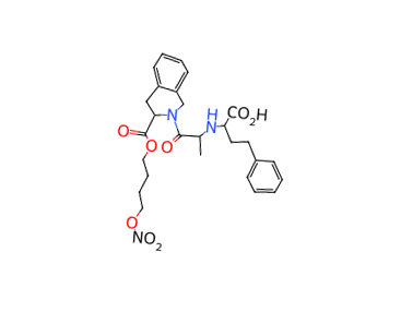 CC(NC(CCc1ccccc1)C(=O)O)C(=O)N1Cc2ccccc2CC1C(=O)OCCCCO[N+](=O)[O-]